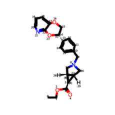 CCOC(=O)[C@H]1[C@@H]2CN(Cc3ccc([C@H]4COc5cccnc5O4)cc3)C[C@@H]21